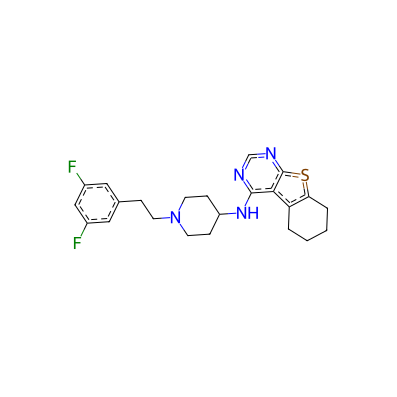 Fc1cc(F)cc(CCN2CCC(Nc3ncnc4sc5c(c34)CCCC5)CC2)c1